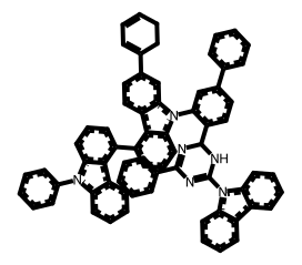 C1=CCCC(c2ccc3c4c(-c5cccc6c5c5ccccc5n6-c5ccccc5)cccc4n(-c4cc(-c5ccccc5)ccc4C4N=C(c5ccccc5)N=C(n5c6ccccc6c6ccccc65)N4)c3c2)=C1